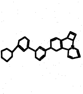 C1=CC2C3=C(C=CC(C4=CC(C5=CCCC(C6CCCCC6)=C5)CC=C4)C3)C3C=CC3N2C=C1